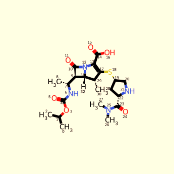 CC(C)OC(=O)N[C@H](C)[C@H]1C(=O)N2C(C(=O)O)=C(S[C@@H]3CN[C@H](C(=O)N(C)C)C3)[C@H](C)[C@H]12